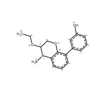 BN1c2cccc(-c3cccc(O)c3)c2OCC1OCC